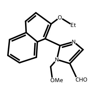 CCOc1ccc2ccccc2c1-c1ncc(C=O)n1COC